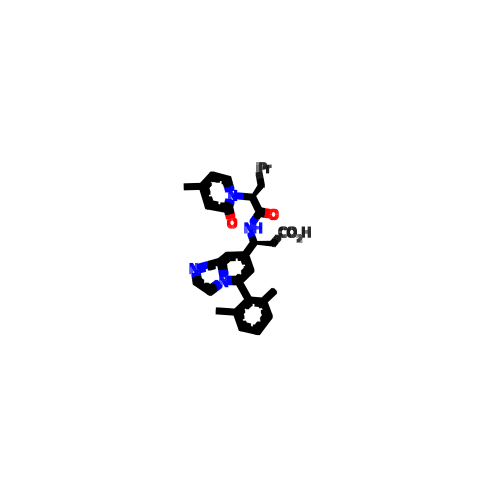 Cc1ccn([C@@H](CC(C)C)C(=O)N[C@@H](CC(=O)O)c2cc(-c3c(C)cccc3C)n3ccnc3c2)c(=O)c1